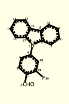 O=Cc1ccc(-n2c3ccccc3c3ccccc32)cc1F